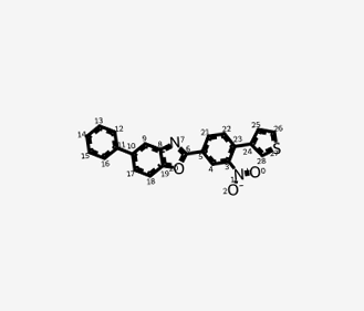 O=[N+]([O-])c1cc(-c2nc3cc(-c4ccccc4)ccc3o2)ccc1-c1ccsc1